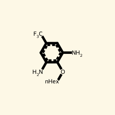 CCCCCCOc1c(N)cc(C(F)(F)F)cc1N